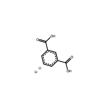 O=C(O)c1cccc(C(=O)O)c1.[Li].[Li]